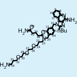 CCCCc1nc2c(N)nc3ccccc3c2n1Cc1ccc(CN(CCCOCCOCCOCCCN)C(=O)CCCC(N)=O)cc1